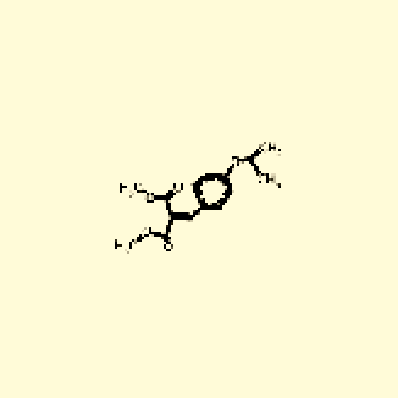 COC(=O)C(=Cc1ccc(OC(C)C)cc1)C(=O)OC